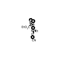 CCOC(=O)CN(c1ccc2c(c1)nc(COc1ccc(C#N)cc1)n2CC)S(=O)(=O)c1cccc2cccnc12